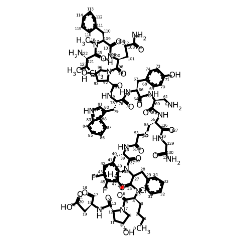 CCCC[C@@H](C(=O)N1C[C@H](O)C[C@@H]1C(=O)N[C@H](C=O)CC(=O)O)N(C)C(=O)C(Cc1ccccc1)N(C)C(=O)[C@H](Cc1cc(F)c(F)c(F)c1)NC(=O)CSC[C@H](NC(=O)[C@H](CN)NC(=O)[C@H](Cc1ccc(O)cc1)NC(=O)[C@H](Cc1c[nH]c2ccccc12)NC(=O)[C@H]1C[C@@H](O)CN1C(=O)[C@H](CCC(N)=O)NC(=O)[C@H](Cc1ccccc1)N(C)C(=O)[C@@H](N)C(C)C)C(=O)NCC(N)=O